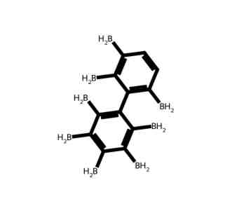 Bc1ccc(B)c(-c2c(B)c(B)c(B)c(B)c2B)c1B